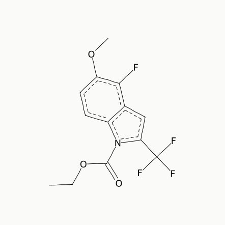 CCOC(=O)n1c(C(F)(F)F)cc2c(F)c(OC)ccc21